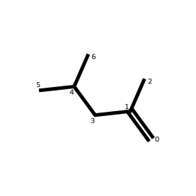 C=C(C)C[C](C)C